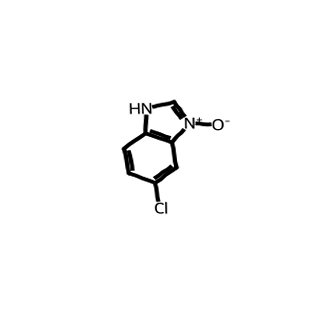 [O-][n+]1c[nH]c2ccc(Cl)cc21